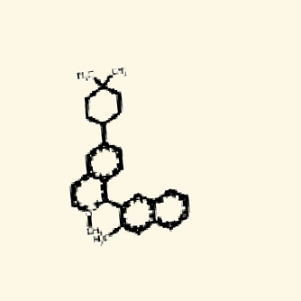 Cc1cc2ccccc2cc1-c1c2ccc(C3CCC(C)(C)CC3)cc2cc[n+]1C